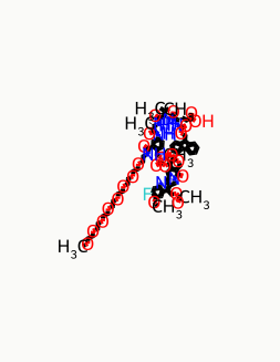 CC[C@@]1(OC(=O)OCc2ccc(NC(=O)[C@H](C)NC(=O)[C@@H](NC(=O)[C@H](CCC(=O)O)NC(=O)OCC3c4ccccc4-c4ccccc43)C(C)C)cc2C(=O)NCCOCCOCCOCCOCCOCCOCCOCCOC)C(=O)OCc2c1cc1n(c2=O)Cc2c-1nc1cc(F)c(OC)cc1c2COC(C)=O